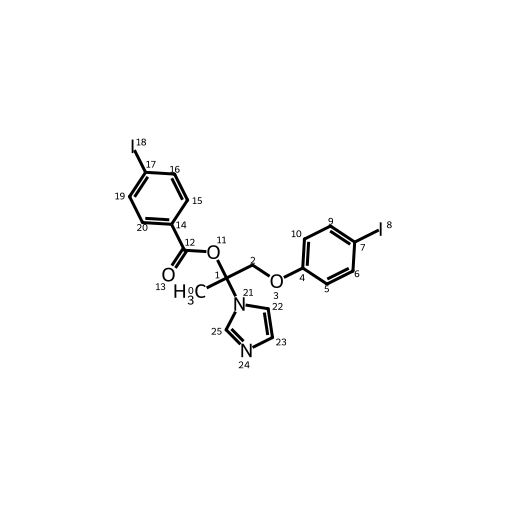 CC(COc1ccc(I)cc1)(OC(=O)c1ccc(I)cc1)n1ccnc1